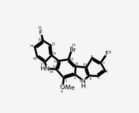 COc1c2[nH]c3ccc(F)cc3c2c(Br)c2c1[nH]c1ccc(F)cc12